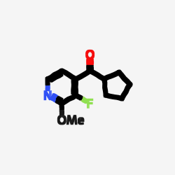 COc1nccc(C(=O)C2CCCC2)c1F